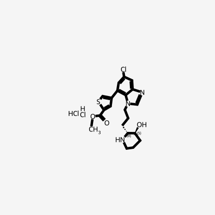 COC(=O)c1cc(-c2cc(Cl)cc3ncn(CCC[C@H]4NCCC[C@@H]4O)c23)cs1.Cl.Cl